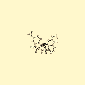 COc1c(N2CCCCC2=O)cccc1S(=O)(=O)N[C@@H](C(N)=O)C(=O)N1CCN(C2CC2)CC1